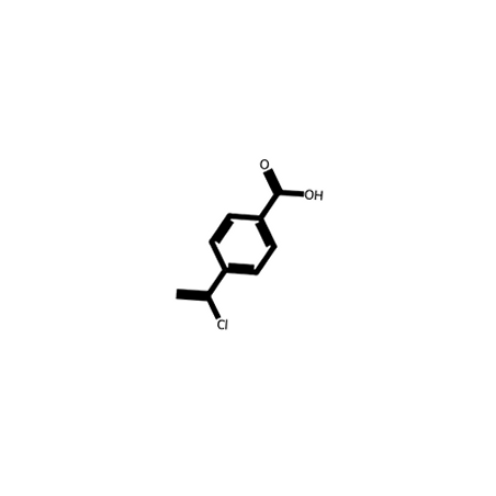 C=C(Cl)c1ccc(C(=O)O)cc1